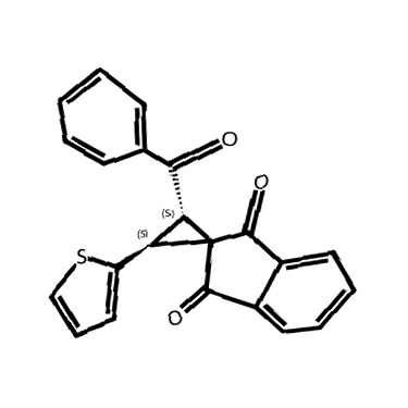 O=C(c1ccccc1)[C@H]1[C@H](c2cccs2)C12C(=O)c1ccccc1C2=O